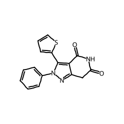 O=C1Cc2nn(-c3ccccc3)c(-c3cccs3)c2C(=O)N1